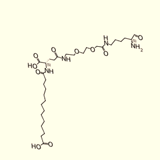 N[C@H](C=O)CCCCNC(=O)COCCOCCNC(=O)CC[C@H](NC(=O)CCCCCCCCCCCCC(=O)O)C(=O)O